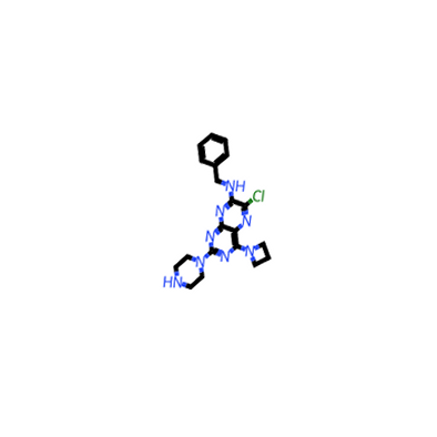 Clc1nc2c(N3CCC3)nc(N3CCNCC3)nc2nc1NCc1ccccc1